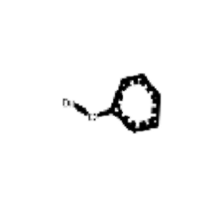 [Eu][O]c1ccccc1